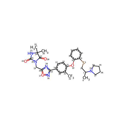 CC(CSc1ccccc1Oc1ccc(-c2noc(CN3C(=O)NC(C)(C)C3=O)n2)cc1C(F)(F)F)N1CCCC1